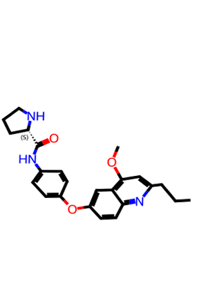 CCCc1cc(OC)c2cc(Oc3ccc(NC(=O)[C@@H]4CCCN4)cc3)ccc2n1